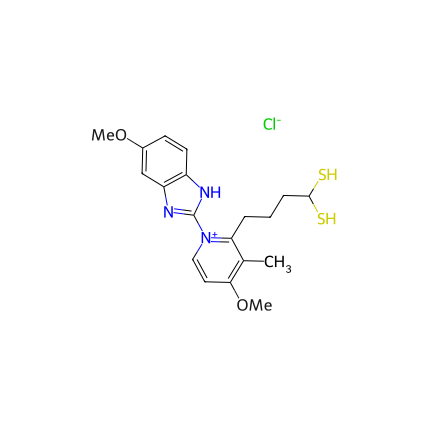 COc1ccc2[nH]c(-[n+]3ccc(OC)c(C)c3CCCC(S)S)nc2c1.[Cl-]